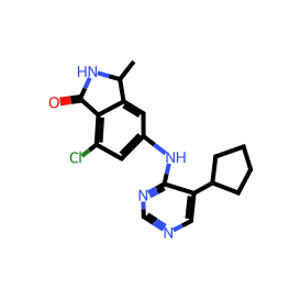 CC1NC(=O)c2c(Cl)cc(Nc3ncncc3C3CCCC3)cc21